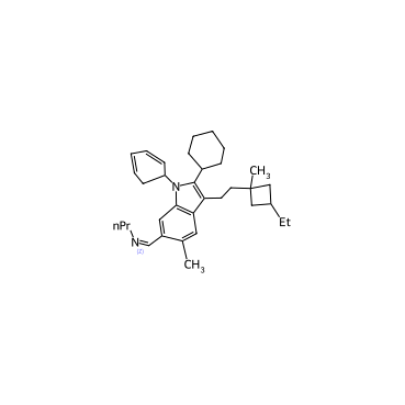 CCC/N=C\c1cc2c(cc1C)c(CCC1(C)CC(CC)C1)c(C1CCCCC1)n2C1C=CC=CC1